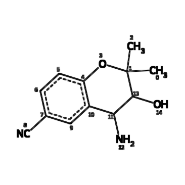 CC1(C)Oc2ccc(C#N)cc2C(N)C1O